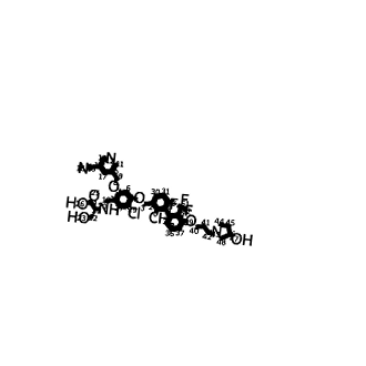 Cc1c(COc2cc(OCc3cncc(C#N)c3)c(CN[C@@H](CO)C(=O)O)cc2Cl)cccc1-c1cccc(OCCCN2CC[C@@H](O)C2)c1C(F)(F)F